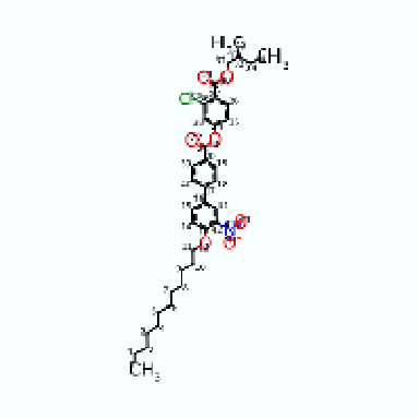 CCCCCCCCCCCCOc1ccc(-c2ccc(C(=O)Oc3ccc(C(=O)OC[C@@H](C)CC)c(Cl)c3)cc2)cc1[N+](=O)[O-]